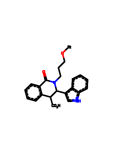 CCOCCCN1C(=O)c2ccccc2C(C(=O)O)C1c1c[nH]c2ccccc12